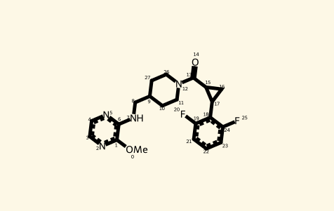 COc1nccnc1NCC1CCN(C(=O)C2CC2c2c(F)cccc2F)CC1